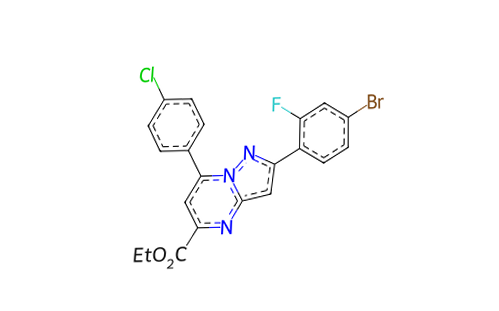 CCOC(=O)c1cc(-c2ccc(Cl)cc2)n2nc(-c3ccc(Br)cc3F)cc2n1